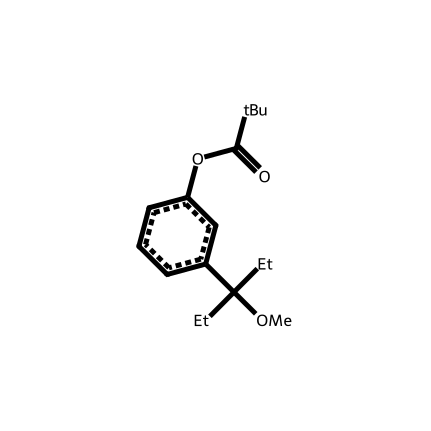 CCC(CC)(OC)c1cccc(OC(=O)C(C)(C)C)c1